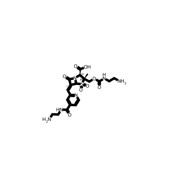 C[C@]1(COC(=O)NCCN)[C@H](C(=O)O)N2C(=O)/C(=C/c3cc(C(=O)NCCN)ccn3)C2S1(=O)=O